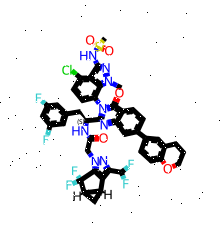 Cn1nc(NS(C)(=O)=O)c2c(Cl)ccc(-n3c([C@H](Cc4cc(F)cc(F)c4)NC(=O)Cn4nc(C(F)F)c5c4C(F)(F)[C@@H]4C[C@H]54)nc4cc(-c5ccc6c(c5)CCCO6)ccc4c3=O)c21